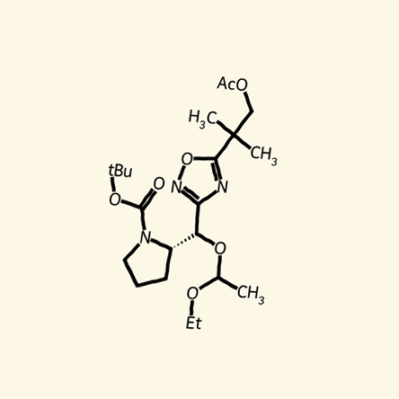 CCOC(C)OC(c1noc(C(C)(C)COC(C)=O)n1)[C@@H]1CCCN1C(=O)OC(C)(C)C